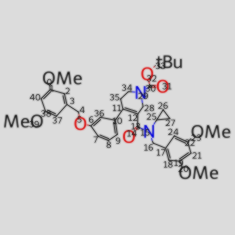 COc1cc(COc2cccc(C3=C(C(=O)N(Cc4cc(OC)cc(OC)c4)C4CC4)CN(C(=O)OC(C)(C)C)CC3)c2)cc(OC)c1